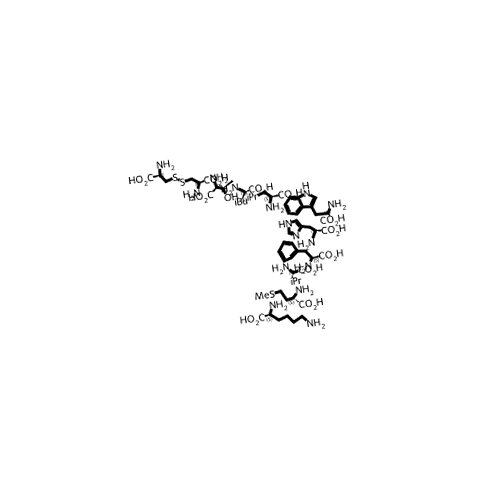 CC(C)C[C@H](N)C(=O)O.CC(C)[C@H](N)C(=O)O.CC[C@H](C)[C@H](N)C(=O)O.CSCC[C@H](N)C(=O)O.C[C@@H](O)[C@H](N)C(=O)O.NCCCC[C@H](N)C(=O)O.N[C@@H](CSSC[C@H](N)C(=O)O)C(=O)O.N[C@@H](Cc1c[nH]c2ccccc12)C(=O)O.N[C@@H](Cc1c[nH]cn1)C(=O)O.N[C@@H](Cc1ccccc1)C(=O)O